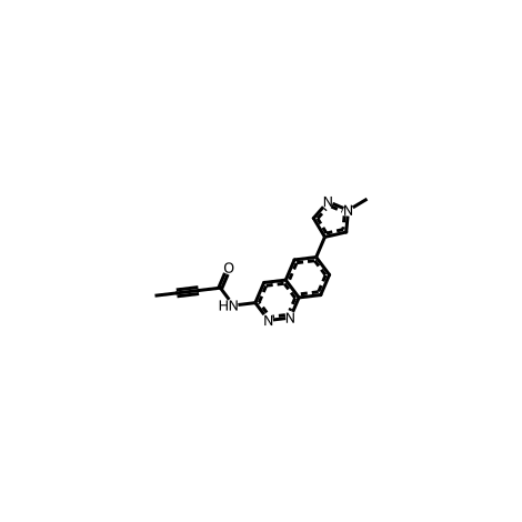 CC#CC(=O)Nc1cc2cc(-c3cnn(C)c3)ccc2nn1